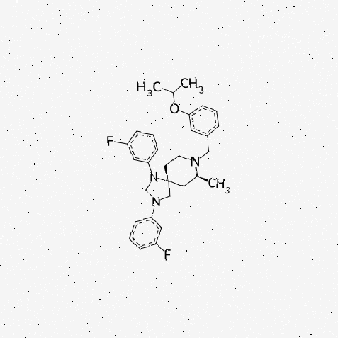 CC(C)Oc1cccc(CN2CC[C@@]3(C[C@@H]2C)CN(c2cccc(F)c2)CN3c2cccc(F)c2)c1